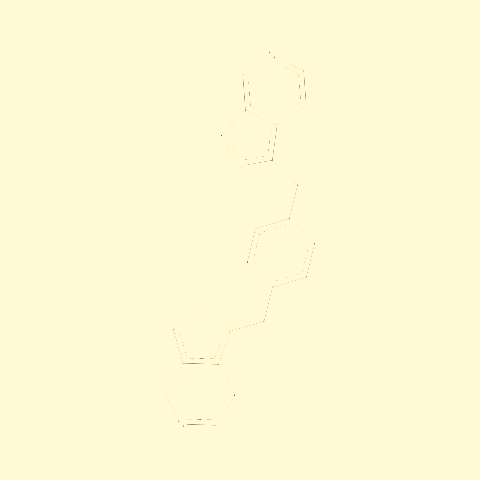 c1cc2c(Cc3ccc(Cc4occ5cnccc45)cc3)occ2cn1